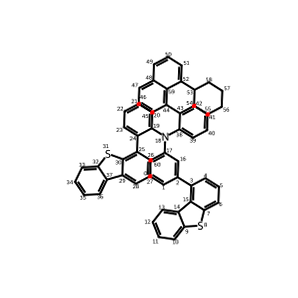 c1cc(-c2cccc3sc4ccccc4c23)cc(N(c2ccccc2-c2cccc3c2sc2ccccc23)c2ccccc2-c2cccc3cccc(C4CCCCC4)c23)c1